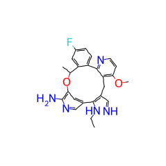 CCN/C1=C(\C=N)Cc2c(OC)ccnc2-c2ccc(F)cc2C(C)Oc2cc1cnc2N